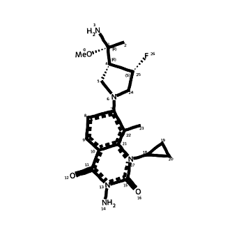 CO[C@@](C)(N)[C@H]1CN(c2ccc3c(=O)n(N)c(=O)n(C4CC4)c3c2C)C[C@H]1F